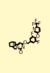 O=c1nc(OCc2cc(F)c(Oc3ccc(C(F)(F)F)nc3)c(F)c2)cc2n1CC13CCC(CC1)N23